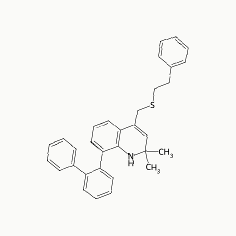 CC1(C)C=C(CSCCc2ccccc2)c2cccc(-c3ccccc3-c3ccccc3)c2N1